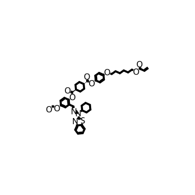 C=CC(=O)OCCCCCCOc1ccc(OC(=O)[C@H]2CC[C@H](C(=O)Oc3ccc(OC=O)cc3/C=N/N(c3nc4ccccc4s3)C3CCCCC3)CC2)cc1